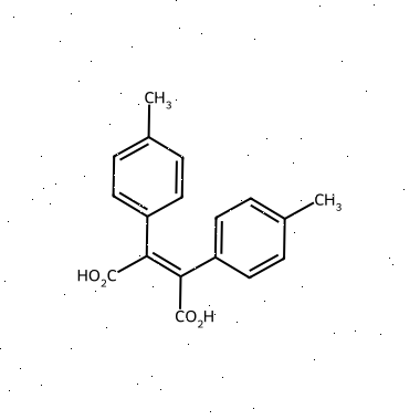 Cc1ccc(C(C(=O)O)=C(C(=O)O)c2ccc(C)cc2)cc1